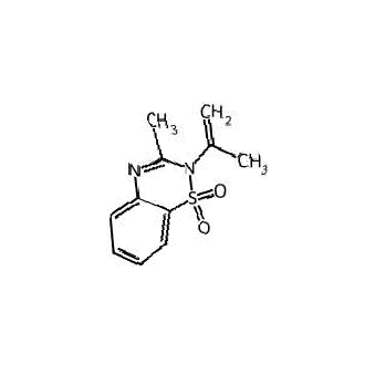 C=C(C)N1C(C)=Nc2ccccc2S1(=O)=O